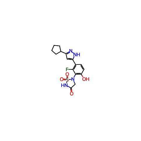 O=C1CN(c2c(O)ccc(-c3cc(C4CCCC4)n[nH]3)c2F)S(=O)(=O)N1